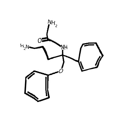 NCCC(NC(N)=O)(Oc1ccccc1)c1ccccc1